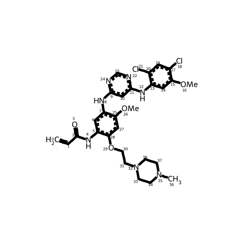 C=CC(=O)Nc1cc(Nc2cc(Nc3cc(OC)c(Cl)cc3Cl)ncn2)c(OC)cc1OCCN1CCN(C)CC1